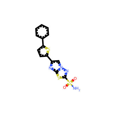 NS(=O)(=O)c1nn2cc(-c3ccc(-c4ccccc4)s3)nc2s1